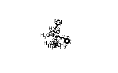 COC[C@@H](NC(=O)c1cncnc1)C(=O)N[C@@H](CCCc1ccccc1)B1OC(C)(C)C(C)(C)O1